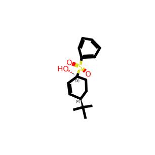 CC(C)(C)[C@H]1C=C[C@@](O)(S(=O)(=O)c2ccccc2)CC1